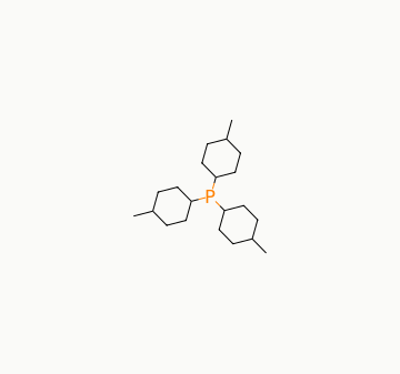 CC1CCC(P(C2CCC(C)CC2)C2CCC(C)CC2)CC1